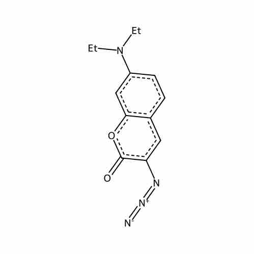 CCN(CC)c1ccc2cc(N=[N+]=[N-])c(=O)oc2c1